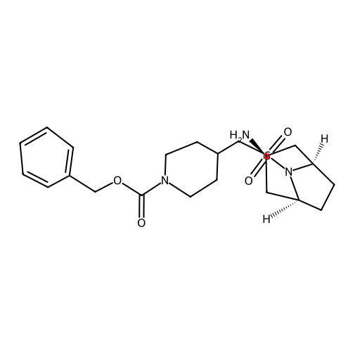 N[C@H]1C[C@H]2CC[C@@H](C1)N2S(=O)(=O)CC1CCN(C(=O)OCc2ccccc2)CC1